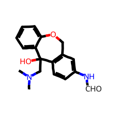 CN(C)CC1(O)c2ccc(NC=O)cc2COc2ccccc21